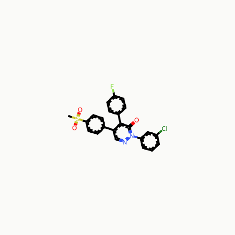 CS(=O)(=O)c1ccc(-c2cnn(-c3cccc(Cl)c3)c(=O)c2-c2ccc(F)cc2)cc1